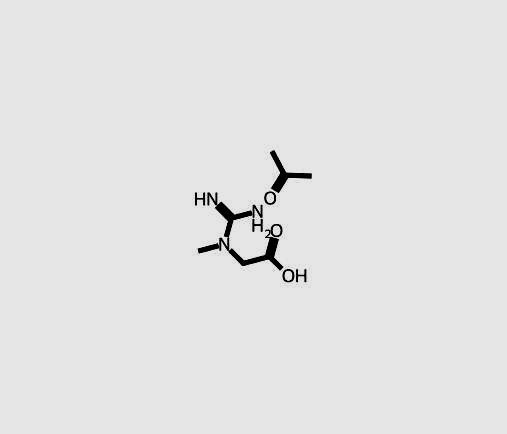 CC(C)=O.CN(CC(=O)O)C(=N)N